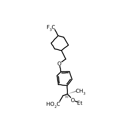 CCO[C@@](C)(CC(=O)O)c1ccc(OCC2CCC(C(F)(F)F)CC2)cc1